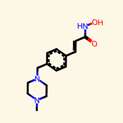 CN1CCN(Cc2ccc(/C=C/C(=O)NO)cc2)CC1